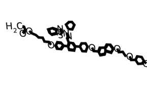 C=CC(=O)OCCCCCCOc1ccc(-c2ccc(C3CCC(OCc4ccc5cc(OCCCOCC6CCC7OC7C6)ccc5c4)CC3)cc2/C=N/N(c2nc3ccccc3s2)C2CCCCC2)cc1